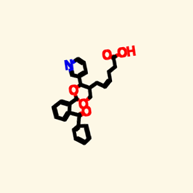 O=C(O)CC/C=C\CC1COC(c2ccccc2C(=O)c2ccccc2)OC1c1cccnc1